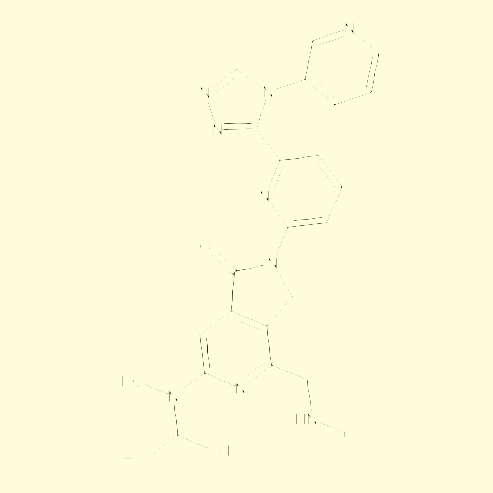 CNCc1nc(N(C)C(C)C)cc2c1CN(c1cccc(-c3nncn3-c3cccnc3)n1)C2=O